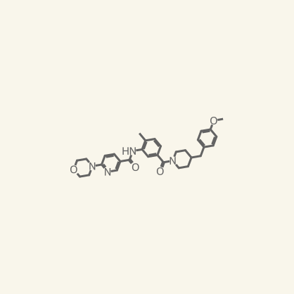 COc1ccc(CC2CCN(C(=O)c3ccc(C)c(NC(=O)c4ccc(N5CCOCC5)nc4)c3)CC2)cc1